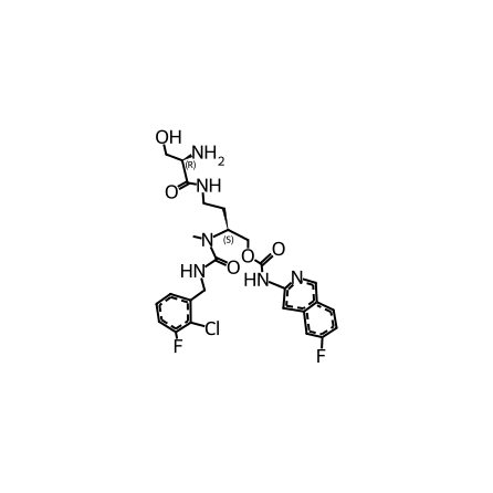 CN(C(=O)NCc1cccc(F)c1Cl)[C@@H](CCNC(=O)[C@H](N)CO)COC(=O)Nc1cc2cc(F)ccc2cn1